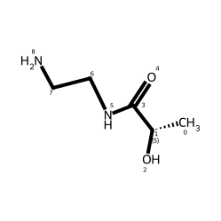 C[C@H](O)C(=O)NCCN